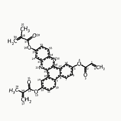 C=CC(=O)Oc1ccc2c3ccc(OC(=O)C(=C)C)cc3c3nc4cc(OC(=O)C(=C)C)ccc4nc3c2c1